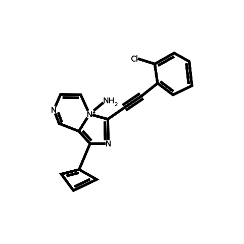 N[N+]12C=CN=CC1=C(C1=CC=C1)N=C2C#Cc1ccccc1Cl